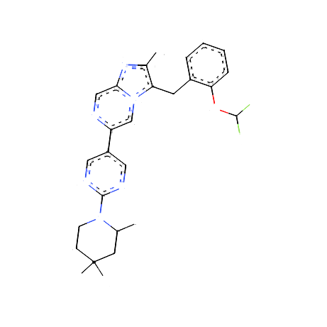 CCC1CC(C)(C(=O)O)CCN1c1ncc(-c2cn3c(Cc4ccccc4OC(F)F)c(C)nc3cn2)cn1